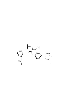 C=CC(=O)Nc1cccc(Oc2nc(Nc3ccc(N4CCN(C)[C@@H](CC)C4)cc3)c(C(N)=O)nc2CC)c1